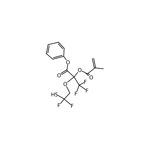 C=C(C)C(=O)OC(OCC(F)(F)S)(C(=O)Oc1ccccc1)C(F)(F)F